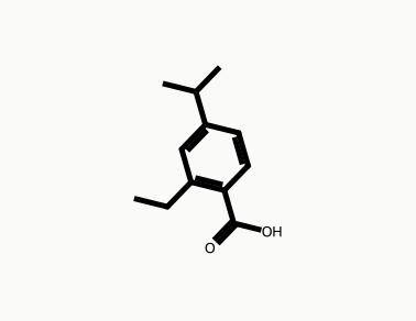 CCc1cc(C(C)C)ccc1C(=O)O